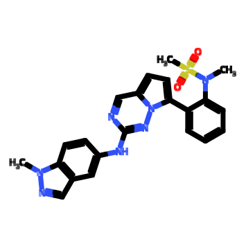 CN(c1ccccc1-c1ccc2cnc(Nc3ccc4c(cnn4C)c3)nn12)S(C)(=O)=O